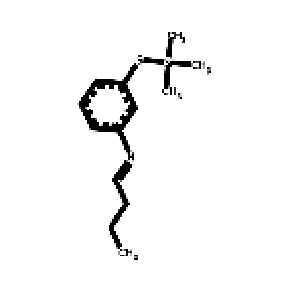 CCCC=Nc1cccc(S[Si](C)(C)C)c1